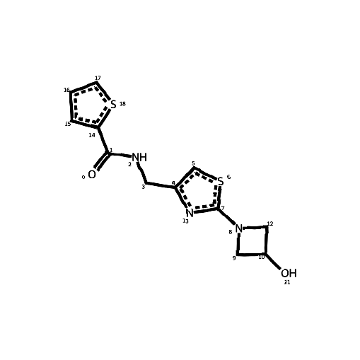 O=C(NCc1csc(N2CC(O)C2)n1)c1cccs1